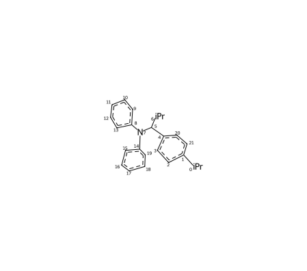 CC(C)c1ccc(C(C(C)C)N(c2ccccc2)c2ccccc2)cc1